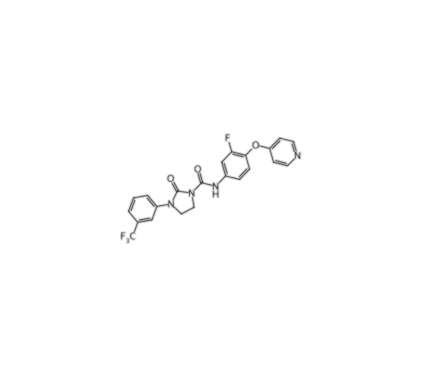 O=C(Nc1ccc(Oc2ccncc2)c(F)c1)N1CCN(c2cccc(C(F)(F)F)c2)C1=O